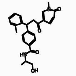 Cc1ccccc1C(CC(=O)c1ccc(=O)n(C)c1)c1ccc(C(=O)NC(C)CO)cc1